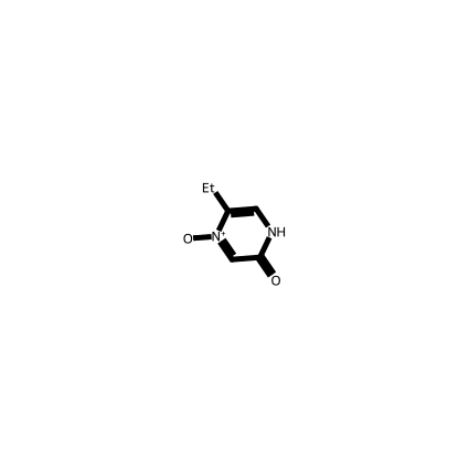 CCc1c[nH]c(=O)c[n+]1[O-]